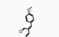 C=CC(C=O)=Cc1ccc(OC)cc1